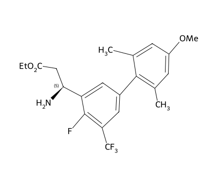 CCOC(=O)C[C@H](N)c1cc(-c2c(C)cc(OC)cc2C)cc(C(F)(F)F)c1F